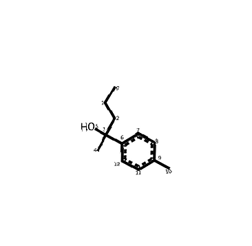 CCCC(C)(O)c1ccc(C)cc1